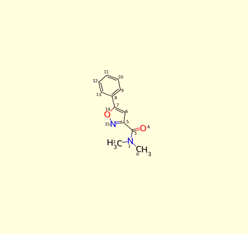 CN(C)C(=O)c1cc(-c2ccccc2)on1